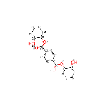 O=C(OC1CCCCC1O)c1ccc(C(=O)OC2CCCCC2O)cc1